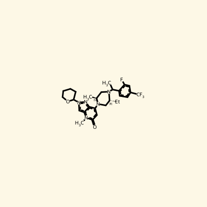 CC[C@@H]1CN(c2cc(=O)n(C)c3cn(C4CCCCO4)nc23)[C@@H](C)CN1C(C)c1ccc(C(F)(F)F)cc1F